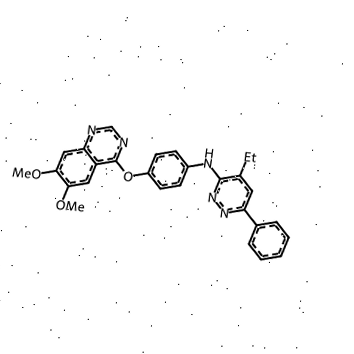 CCc1cc(-c2ccccc2)nnc1Nc1ccc(Oc2ncnc3cc(OC)c(OC)cc23)cc1